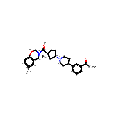 COC(=O)c1cccc(C2CCN([C@@H]3CC[C@@](C(=O)N4COc5ccc(C(F)(F)F)cc5C4)(C(C)C)C3)CC2)c1